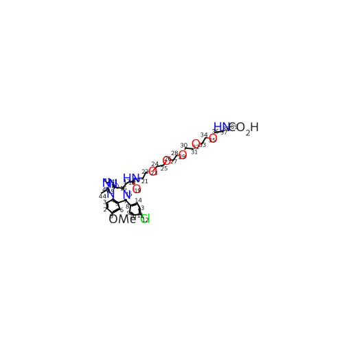 COc1ccc2c(c1)C(c1ccc(Cl)cc1)=NC(CC(=O)NCCOCCOCCOCCOCCOCCNC(=O)O)c1nnc(C)n1-2